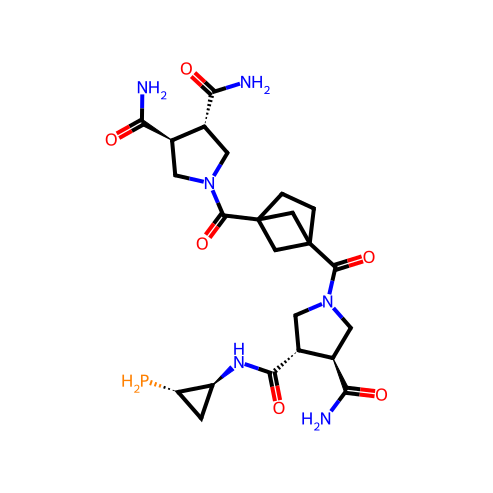 NC(=O)[C@@H]1CN(C(=O)C23CCC(C(=O)N4C[C@@H](C(N)=O)[C@H](C(=O)N[C@H]5C[C@@H]5P)C4)(C2)C3)C[C@H]1C(N)=O